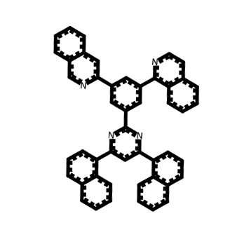 c1ccc2cc(-c3cc(-c4nc(-c5cccc6ccccc56)cc(-c5cccc6ccccc56)n4)cc(-c4nccc5ccccc45)c3)ncc2c1